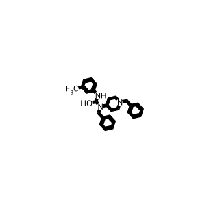 OC(Nc1cccc(C(F)(F)F)c1)N(Cc1ccccc1)C1CCN(Cc2ccccc2)CC1